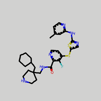 Cc1ccnc(Nc2ncc(Sc3ccnc(C(=O)NCC4(CC5CCCCC5)CCNCC4)c3F)s2)c1